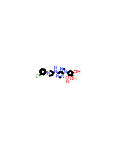 C[C@@]1(O)[C@H](O)C[C@@H](n2cnc3c(N[C@H]4CCN(c5cccc(Cl)c5)C4)ncnc32)[C@@H]1O